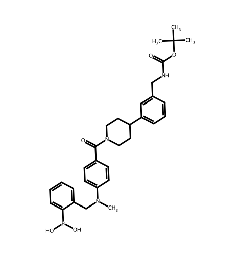 CN(Cc1ccccc1B(O)O)c1ccc(C(=O)N2CCC(c3cccc(CNC(=O)OC(C)(C)C)c3)CC2)cc1